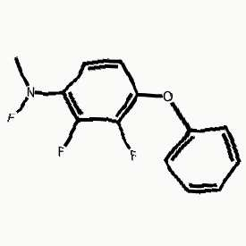 CN(F)c1ccc(Oc2ccccc2)c(F)c1F